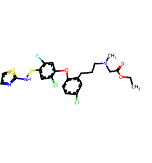 CCOC(=O)CN(C)CCCc1cc(Cl)ccc1Oc1cc(F)c(SNc2nccs2)cc1Cl